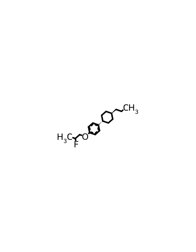 CCC[C@H]1CC[C@H](c2ccc(OCC(C)F)cc2)CC1